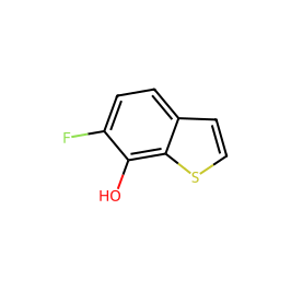 Oc1c(F)ccc2ccsc12